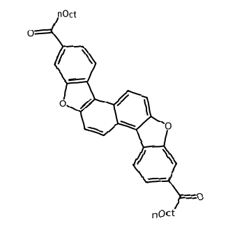 CCCCCCCCC(=O)c1ccc2c(c1)oc1ccc3c(ccc4oc5cc(C(=O)CCCCCCCC)ccc5c43)c12